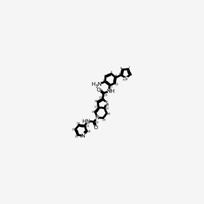 Nc1ccc(-c2cccs2)cc1NC(=O)C1=CC2=CN(C(=O)Nc3cccnc3)CCC2S1